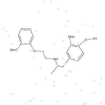 CCOc1ccc(CC(C)NCCOc2ccccc2OC)cc1SC